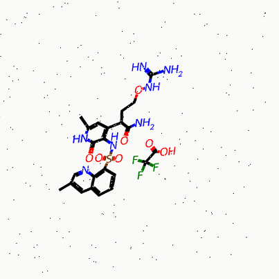 Cc1cnc2c(S(=O)(=O)Nc3c(C(CCONC(=N)N)C(N)=O)cc(C)[nH]c3=O)cccc2c1.O=C(O)C(F)(F)F